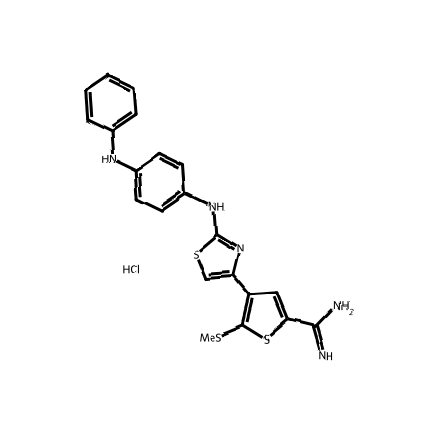 CSc1sc(C(=N)N)cc1-c1csc(Nc2ccc(Nc3ccccc3)cc2)n1.Cl